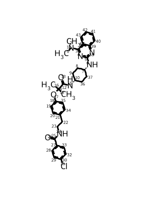 CN(C)c1nc(N[C@H]2CC[C@@H](NC(=O)C(C)(C)Oc3ccc(CCNC(=O)c4ccc(Cl)cc4)cc3)CC2)nc2ccccc12